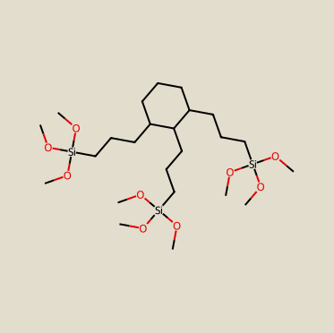 CO[Si](CCCC1CCCC(CCC[Si](OC)(OC)OC)C1CCC[Si](OC)(OC)OC)(OC)OC